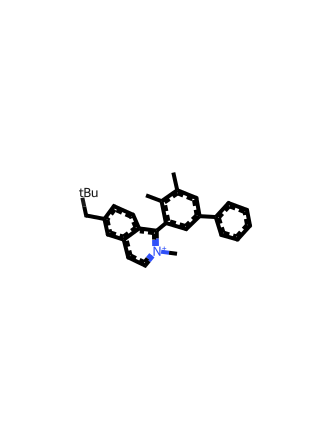 Cc1cc(-c2ccccc2)cc(-c2c3ccc(CC(C)(C)C)cc3cc[n+]2C)c1C